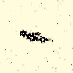 CC(C)Nc1c(C(=O)NC2CCC(N)CC2)cnn2cc(-c3cccnc3)cc12